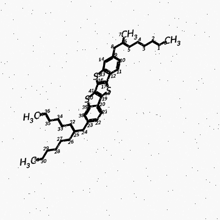 CCCCCCC(C)Cc1ccc2c(c1)sc1c2sc2c3ccc(CC(CCCCCC)CCCCCC)cc3sc21